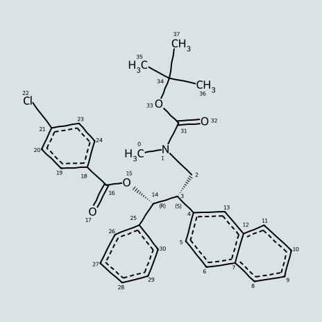 CN(C[C@H](c1ccc2ccccc2c1)[C@@H](OC(=O)c1ccc(Cl)cc1)c1ccccc1)C(=O)OC(C)(C)C